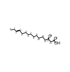 CCC=CCCCCCCCCCC(=O)CC(=O)O